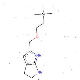 C[Si](C)(C)CCOCc1cc2c([nH]1)NCC2